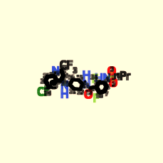 CCCS(=O)(=O)Nc1ccc(F)c(C(=O)N[C@H]2CC[C@@H](Nc3cc(C(F)(F)F)nc4ccc(Cl)cc34)CC2)c1F